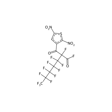 O=C(F)C(F)(C(=O)c1cc([N+](=O)[O-])sc1[N+](=O)[O-])C(F)(F)C(F)(F)C(F)(F)C(F)(F)C(F)(F)F